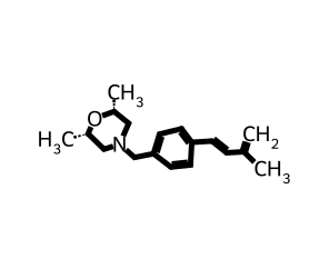 C=C(C)/C=C/c1ccc(CN2C[C@@H](C)O[C@@H](C)C2)cc1